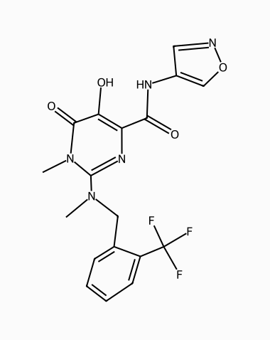 CN(Cc1ccccc1C(F)(F)F)c1nc(C(=O)Nc2cnoc2)c(O)c(=O)n1C